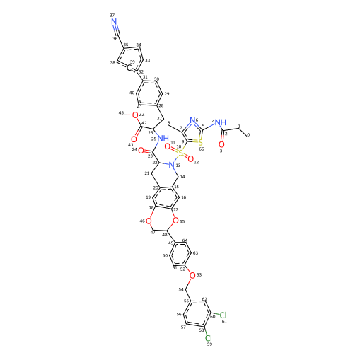 CCC(=O)Nc1nc(C)c(S(=O)(=O)N2Cc3cc4c(cc3CC2C(=O)NC(Cc2ccc(-c3ccc(C#N)cc3)cc2)C(=O)OC)OCC(c2ccc(OCc3ccc(Cl)c(Cl)c3)cc2)O4)s1